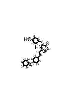 COC(=O)[C@H](Cc1ccc(O)cc1)NC(=O)C=Cc1ccc(Oc2ccccc2)cc1